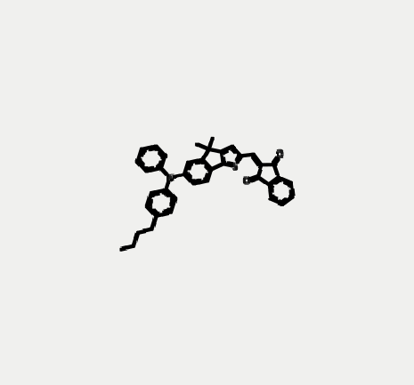 CCCCc1ccc(N(c2ccccc2)c2ccc3c(c2)C(C)(C)c2cc(C=C4C(=O)c5ccccc5C4=O)sc2-3)cc1